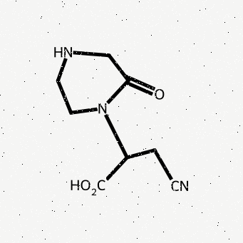 N#CCC(C(=O)O)N1CCNCC1=O